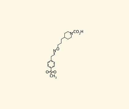 CS(=O)(=O)c1ccc(CC=NOCCCC2CCN(C(=O)O)CC2)cc1